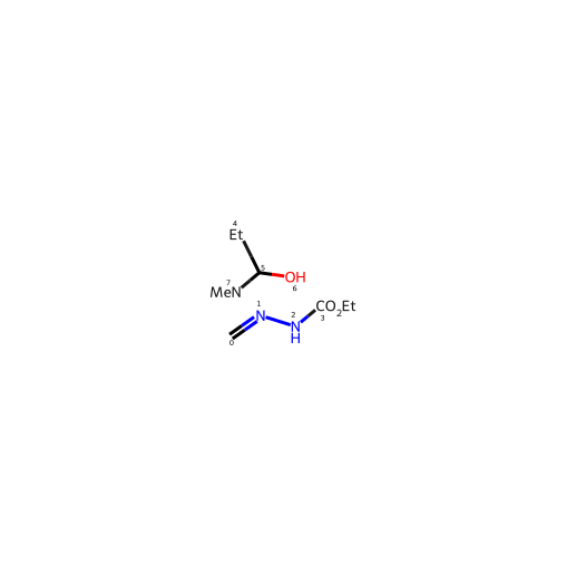 C=NNC(=O)OCC.CCC(O)NC